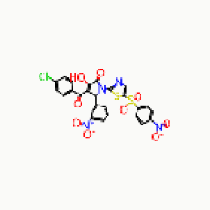 O=C(C1=C(O)C(=O)N(c2ncc(S(=O)(=O)c3ccc([N+](=O)[O-])cc3)s2)C1c1cccc([N+](=O)[O-])c1)c1ccc(Cl)cc1